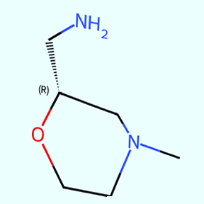 CN1CCO[C@H](CN)C1